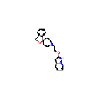 c1ccc2c(c1)COC21CCN(CCOc2cc3ccccn3n2)CC1